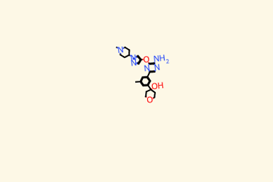 Cc1cc(-c2cnc(N)c(Oc3cnn(C4CCN(C)CC4)c3)n2)cc(C2(O)CCOCC2)c1